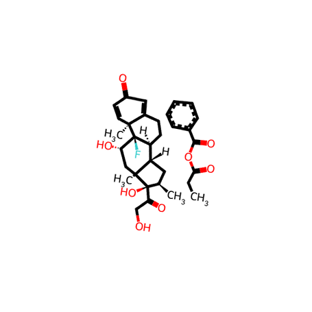 CCC(=O)OC(=O)c1ccccc1.C[C@@H]1C[C@H]2[C@@H]3CCC4=CC(=O)C=C[C@]4(C)[C@@]3(F)[C@@H](O)C[C@]2(C)[C@@]1(O)C(=O)CO